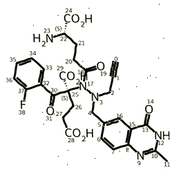 C#CCN(Cc1ccc2nc(C)[nH]c(=O)c2c1)N(C(=O)CC[C@H](N)C(=O)O)[C@](CCC(=O)O)(C(=O)O)C(=O)c1ccccc1F